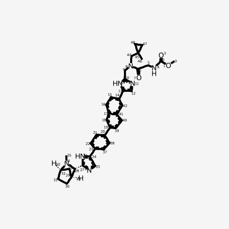 COC(=O)NCC(=O)N(Cc1ncc(-c2ccc3cc(-c4ccc(-c5cnc([C@@H]6[C@H]7CC[C@H](C7)N6C)[nH]5)cc4)ccc3c2)[nH]1)CC1(C)CC1